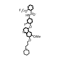 COc1cc2c(Oc3ccc(N[S+]([O-])c4ccccc4OC(F)(F)F)cc3F)ccnc2cc1OCCCN1CCCCC1